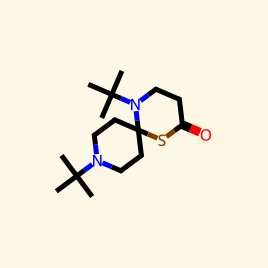 CC(C)(C)N1CCC2(CC1)SC(=O)CCN2C(C)(C)C